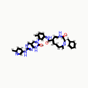 CC1=N/[C@@H](CC2C=CC=CC2)C(=O)N/C=C/C(C(=O)Nc2ccc(C)c(N3Cc4cnc(Nc5ccc(C)nc5)nc4NC3=O)c2)=C\C=C\1